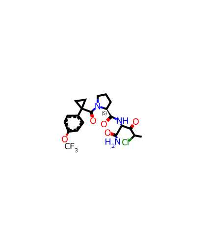 CC(Cl)C(=O)C(NC(=O)[C@@H]1CCCN1C(=O)C1(c2ccc(OC(F)(F)F)cc2)CC1)C(N)=O